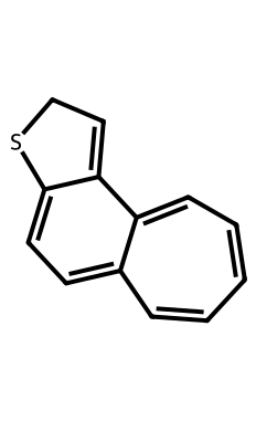 C1=CC=c2c(ccc3c2=CCS3)C=C1